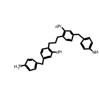 CCCc1cc(Cc2ccc(N)cc2)ccc1CCCc1ccc(Cc2ccc(N)cc2)cc1CCC